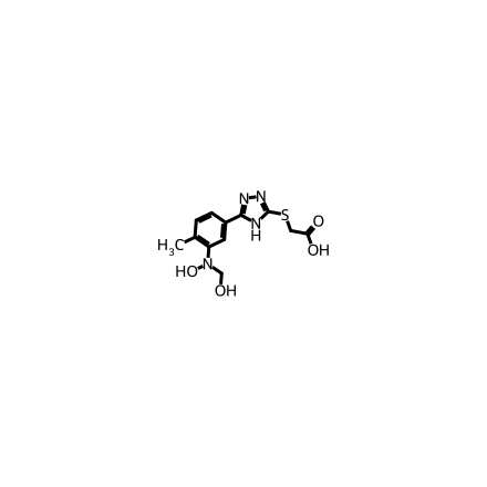 Cc1ccc(-c2nnc(SCC(=O)O)[nH]2)cc1N(O)CO